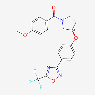 COc1ccc(C(=O)N2CC[C@@H](Oc3ccc(-c4noc(C(F)(F)F)n4)cc3)C2)cc1